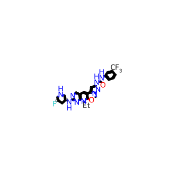 CCn1c(=O)c(-c2cc(NC(=O)Nc3cccc(C(F)(F)F)c3)nn2C)cc2cnc(N[C@@H]3CNC[C@@H](F)C3)nc21